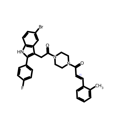 Cc1ccccc1/C=C/C(=O)N1CCN(C(=O)Cc2c(-c3ccc(F)cc3)[nH]c3ccc(Br)cc23)CC1